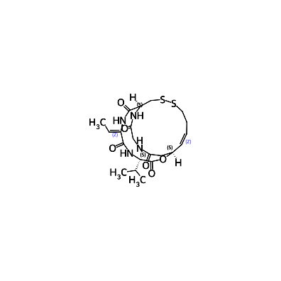 C/C=C1\NC(=O)[C@H]2CSSCC/C=C\[C@H](CC(=O)NCC(=O)N2)OC(=O)[C@H](C(C)C)NC1=O